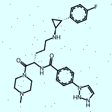 CN1CCN(C(=O)[C@H](CCCN[C@H]2C[C@@H]2c2ccc(F)cc2)NC(=O)c2ccc(N3C=CNN3)cc2)CC1